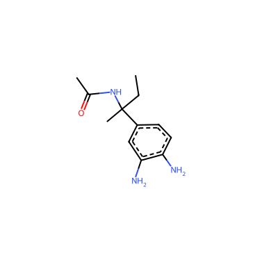 CCC(C)(NC(C)=O)c1ccc(N)c(N)c1